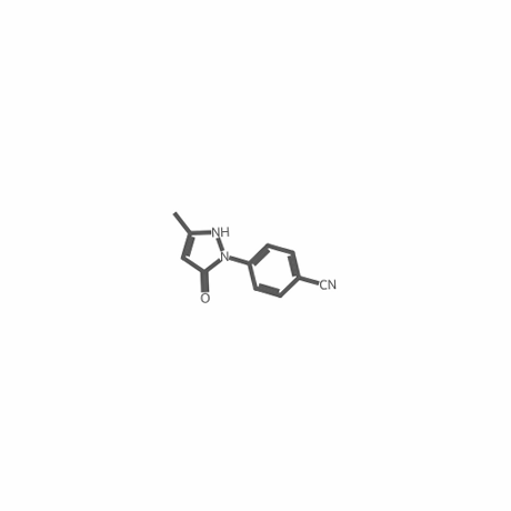 Cc1cc(=O)n(-c2ccc(C#N)cc2)[nH]1